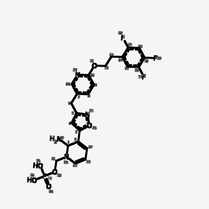 NC1C(c2cc(Cc3ccc(OCCc4cc(F)c(F)cc4F)nc3)no2)=CC=CN1COP(=O)(O)O